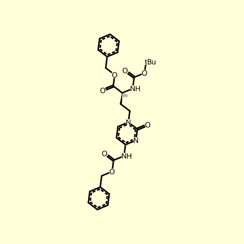 CC(C)(C)OC(=O)N[C@@H](CCn1ccc(NC(=O)OCc2ccccc2)nc1=O)C(=O)OCc1ccccc1